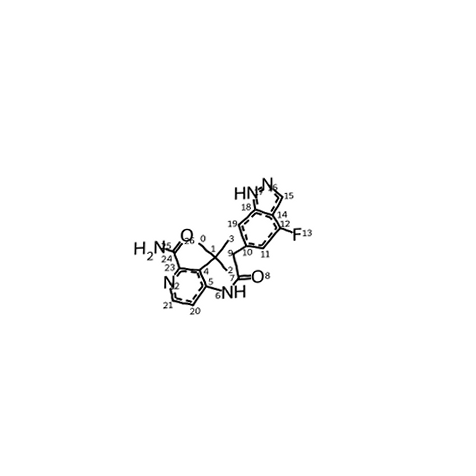 CC(C)(C)c1c(NC(=O)Cc2cc(F)c3cn[nH]c3c2)ccnc1C(N)=O